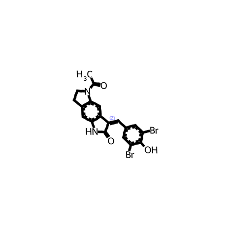 CC(=O)N1CCc2cc3c(cc21)/C(=C/c1cc(Br)c(O)c(Br)c1)C(=O)N3